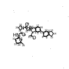 CC(=O)C1c2cc(-c3ccc4c(c3)CCC4)ccc2NN1CC(=O)N1CC[C@H]1C(=O)Nc1cccc(C)n1